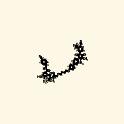 CC(C)(C)[C@H](NC(=O)COCCCCOc1ccc(-c2ccc(N3C(=S)N(c4cnc(C#N)c(C(F)(F)F)c4)C(=O)C3(C)C)cc2)cc1)C(=O)N1C[C@H](O)C[C@H]1C(=O)NCc1ccc(C#N)cc1